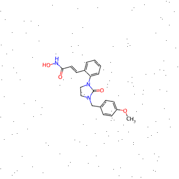 COc1ccc(CN2CCN(c3ccccc3C=CC(=O)NO)C2=O)cc1